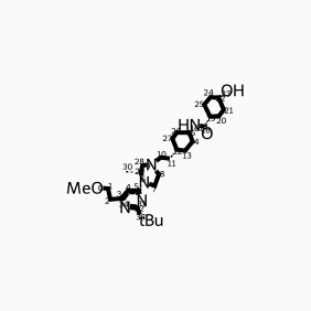 COCCc1cc(N2CCN(CC[C@H]3CC[C@H](NC(=O)[C@H]4CC[C@H](O)CC4)CC3)C[C@H]2C)nc(C(C)(C)C)n1